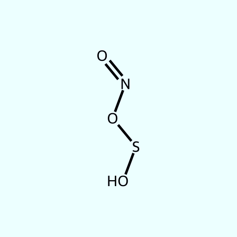 O=NOSO